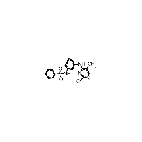 Cc1cnc(Cl)nc1Nc1cccc(NS(=O)(=O)c2ccccc2)c1